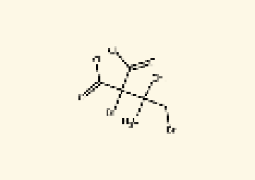 CC(C)(CBr)C(Br)(C(=O)Cl)C(=O)Cl